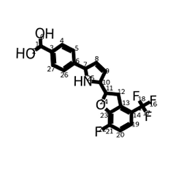 OC(O)c1ccc(C2C=CC(C3Cc4c(C(F)(F)F)ccc(F)c4O3)N2)cc1